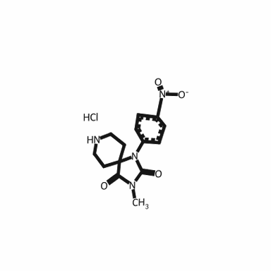 CN1C(=O)N(c2ccc([N+](=O)[O-])cc2)C2(CCNCC2)C1=O.Cl